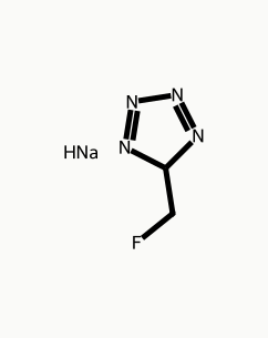 FCC1N=NN=N1.[NaH]